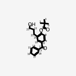 CC(C)(C)C(=O)Oc1ccc(C(=O)c2ccccc2)cc1CCCO